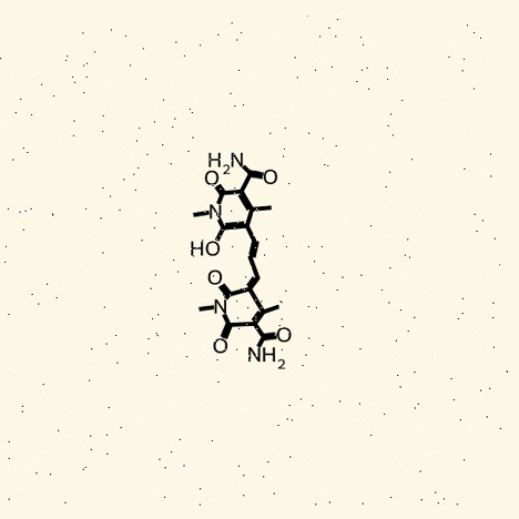 CC1=C(C(N)=O)C(=O)N(C)C(=O)C1=CC=Cc1c(C)c(C(N)=O)c(=O)n(C)c1O